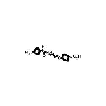 Cc1ccc(NC(=O)NCCCCOc2ccc(C(=O)O)cc2)cc1